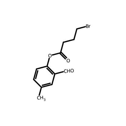 Cc1ccc(OC(=O)CCCBr)c(C=O)c1